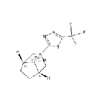 O[C@@H]1[C@@H]2CC[C@H]1CN(c1nnc(C(F)(F)F)s1)C2